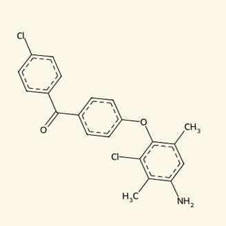 Cc1cc(N)c(C)c(Cl)c1Oc1ccc(C(=O)c2ccc(Cl)cc2)cc1